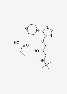 CC(C)(C)NCC(O)COc1nsnc1N1CCOCC1.CCC(=O)O